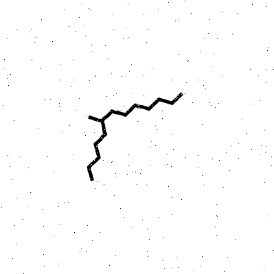 [CH2]CCCCCCC(C)CCCCC